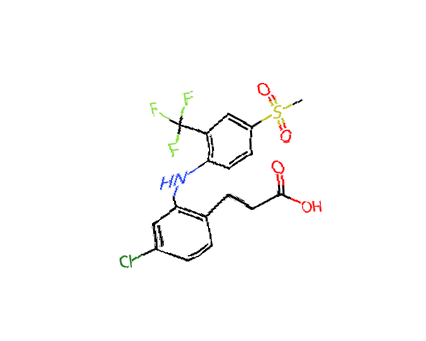 CS(=O)(=O)c1ccc(Nc2cc(Cl)ccc2CCC(=O)O)c(C(F)(F)F)c1